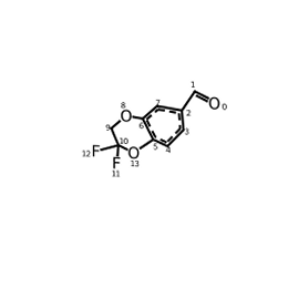 O=Cc1ccc2c(c1)OCC(F)(F)O2